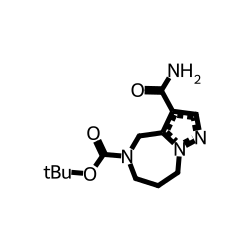 CC(C)(C)OC(=O)N1CCCn2ncc(C(N)=O)c2C1